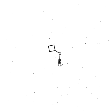 C#COC1CCC1